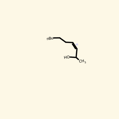 CCCCCC/C=C\C(C)O